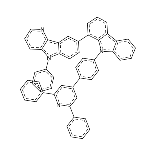 c1ccc(-c2cc(-c3ccc(-n4c5ccccc5c5cccc(-c6ccc7c(c6)c6ncccc6n7-c6ccccc6)c54)cc3)cc(-c3ccccc3)n2)cc1